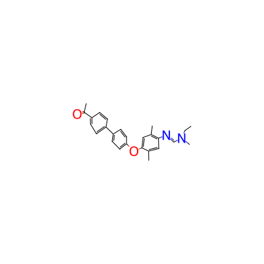 CCN(C)C=Nc1cc(C)c(Oc2ccc(-c3ccc(C(C)=O)cc3)cc2)cc1C